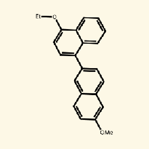 CCOc1ccc(-c2ccc3cc(OC)ccc3c2)c2ccccc12